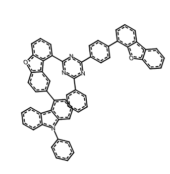 c1ccc(-c2nc(-c3ccc(-c4cccc5c4oc4ccccc45)cc3)nc(-c3cccc4oc5ccc(-c6cccc7c6c6ccccc6n7-c6ccccc6)cc5c34)n2)cc1